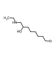 CCNCC(O)CCCCCC[O]